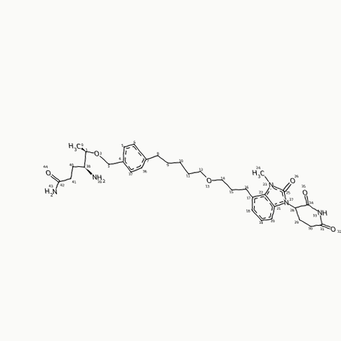 C[C@@H](OCc1ccc(CCCCCOCCCc2cccc3c2n(C)c(=O)n3C2CCC(=O)NC2=O)cc1)[C@@H](N)CCC(N)=O